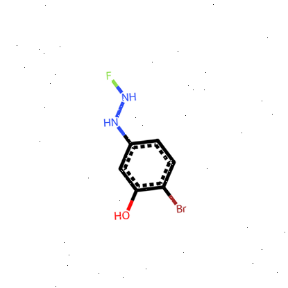 Oc1cc(NNF)ccc1Br